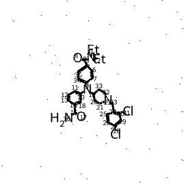 CCN(CC)C(=O)c1ccc(N(c2cccc(C(N)=O)c2)C2CCN(Cc3ccc(Cl)cc3Cl)CC2)cc1